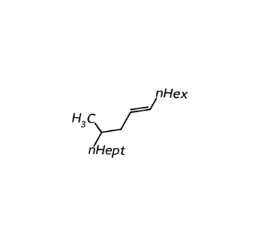 [CH2]CCCCCC=CCC(C)CCCCCC[CH2]